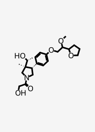 COC(COc1ccc([C@@H]2CN(C(=O)CO)C[C@@]2(C)[C@@H](C)O)cc1)C1CCCO1